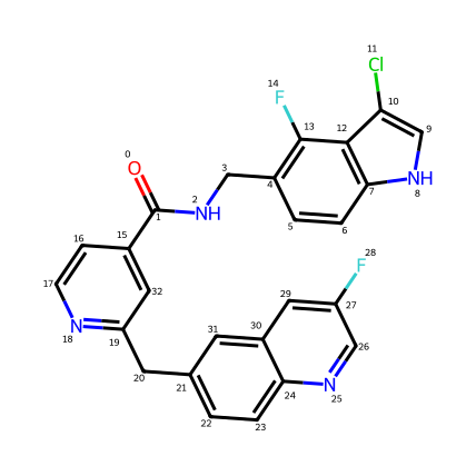 O=C(NCc1ccc2[nH]cc(Cl)c2c1F)c1ccnc(Cc2ccc3ncc(F)cc3c2)c1